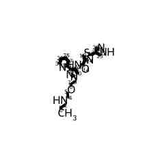 CCCNCCOCCn1cc(NC(=O)c2csc(-c3cn[nH]c3)n2)c(-c2ccccn2)n1